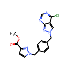 COC(=O)c1ccn(Cc2ccc(Cn3cc4c(Cl)ncnc4n3)cc2)n1